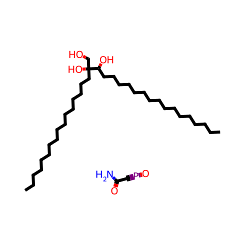 CCCCCCCCCCCCCCCCC(O)C(O)(CO)CCCCCCCCCCCCCCCC.NC(=O)C#P=O